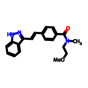 COCCN(C)C(=O)c1ccc(/C=C/c2n[nH]c3ccccc23)cc1